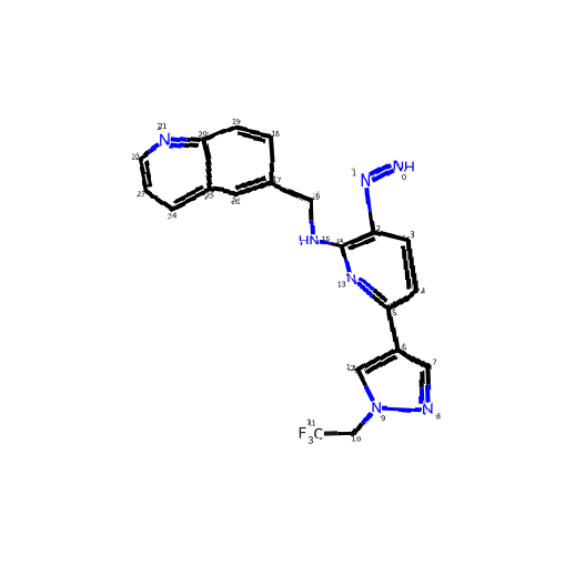 N=Nc1ccc(-c2cnn(CC(F)(F)F)c2)nc1NCc1ccc2ncccc2c1